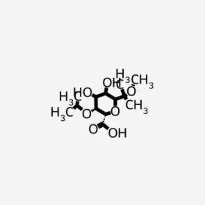 COC(C)(C)C1O[C@H](C(=O)O)[C@@H](OC(C)C)C(O)C1O